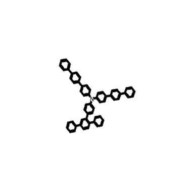 c1ccc(-c2ccc(-c3ccc(N(c4ccc(-c5ccc(-c6ccccc6)cc5)cc4)c4ccc(-c5cc(-c6ccccc6)ccc5-c5ccccc5)cc4)cc3)cc2)cc1